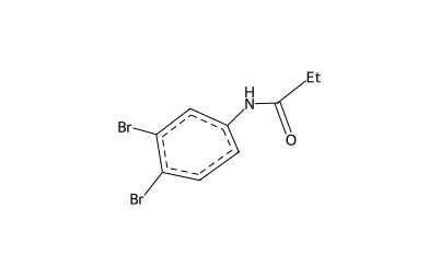 CCC(=O)Nc1ccc(Br)c(Br)c1